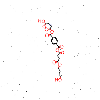 O=C(O)/C=C\C(=O)OC(=O)c1ccc(C(=O)OC(=O)CCC(=O)OCCCCO)cc1